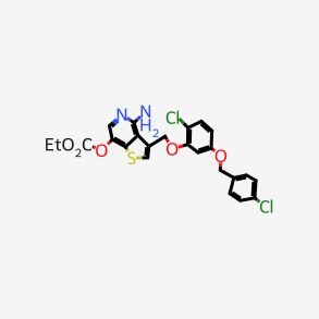 CCOC(=O)Oc1cnc(N)c2c(COc3cc(OCc4ccc(Cl)cc4)ccc3Cl)csc12